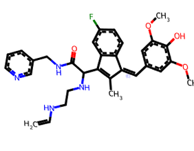 C=CNCCNC(C(=O)NCc1cccnc1)C1=C(C)/C(=C/c2cc(OC)c(O)c(OC)c2)c2ccc(F)cc21